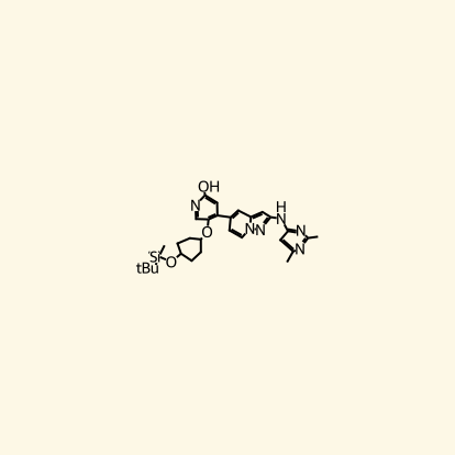 Cc1cc(Nc2cc3cc(-c4cc(O)ncc4OC4CCC(O[Si](C)(C)C(C)(C)C)CC4)ccn3n2)nc(C)n1